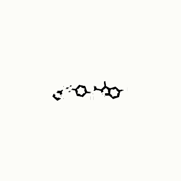 Cc1c(C(=O)Nc2ccc(S(=O)(=O)Nc3nccs3)cc2)[nH]c2ccc(Cl)cc12